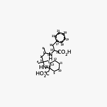 CC(CC(C)(C)NC1(C(=O)O)CCCCC1)NC(Cc1ccccc1)C(=O)O